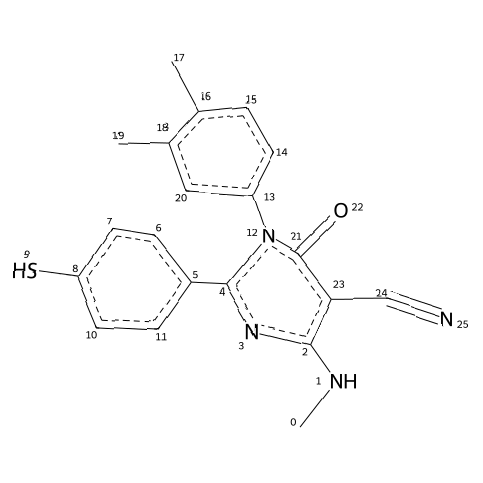 CNc1nc(-c2ccc(S)cc2)n(-c2ccc(C)c(C)c2)c(=O)c1C#N